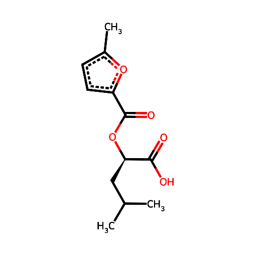 Cc1ccc(C(=O)O[C@H](CC(C)C)C(=O)O)o1